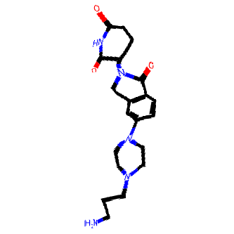 NCCCN1CCN(c2ccc3c(c2)CN(C2CCC(=O)NC2=O)C3=O)CC1